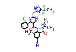 Cc1cc(C#N)cc(C(=O)NC(C)C)c1NC(=O)c1cnc(Cn2nnc(C(C)(F)F)n2)nc1-c1ccccc1Cl